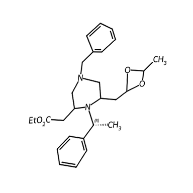 CCOC(=O)CC1CN(Cc2ccccc2)CC(CC2OC(C)O2)N1[C@H](C)c1ccccc1